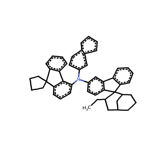 CCC1CC2CCCC(C2)C12c1ccccc1-c1cc(N(c3ccc4ccccc4c3)c3cccc4c3-c3ccccc3C43CCCC3)ccc12